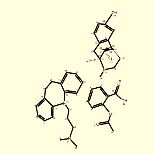 CC(=O)Oc1ccccc1C(=O)O.CN(C)CCCN1c2ccccc2CCc2ccccc21.CN1CC[C@@]23CCCC[C@@H]2[C@@H]1Cc1ccc(O)cc13